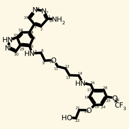 Nc1cc(-c2cc(NCCOCCCCNCc3cc(OCCO)cc(OC(F)(F)F)c3)c3cn[nH]c3c2)cnn1